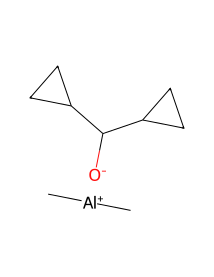 [CH3][Al+][CH3].[O-]C(C1CC1)C1CC1